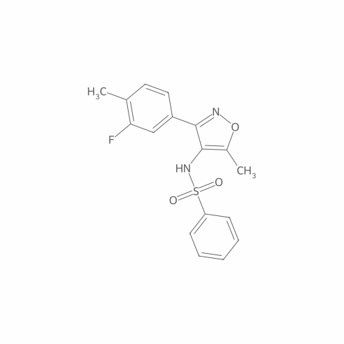 Cc1ccc(-c2noc(C)c2NS(=O)(=O)c2ccccc2)cc1F